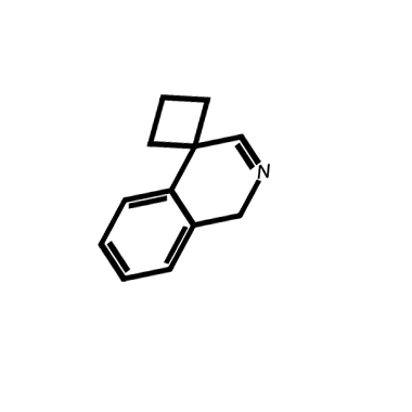 C1=NCc2ccccc2C12CCC2